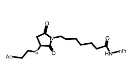 CCCNC(=O)CCCCCCN1C(=O)CC(SCCC(C)=O)C1=O